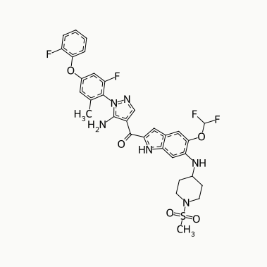 Cc1cc(Oc2ccccc2F)cc(F)c1-n1ncc(C(=O)c2cc3cc(OC(F)F)c(NC4CCN(S(C)(=O)=O)CC4)cc3[nH]2)c1N